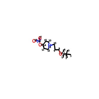 CC(C)(C)[Si](C)(C)OCCCN1CCC(O[N+](=O)[O-])CC1